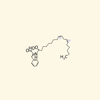 CCCCC/C=C\C/C=C\CCCCCCCC(=O)N[C@@H](Cc1ccccc1)C(=O)O